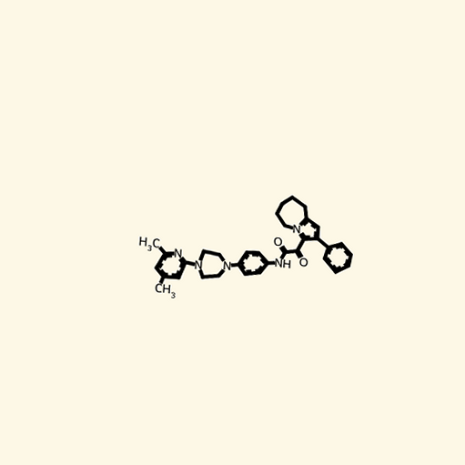 Cc1cc(C)nc(N2CCN(c3ccc(NC(=O)C(=O)c4c(-c5ccccc5)cc5n4CCCCC5)cc3)CC2)c1